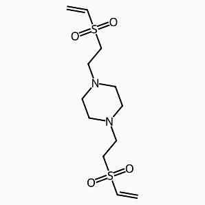 C=CS(=O)(=O)CCN1CCN(CCS(=O)(=O)C=C)CC1